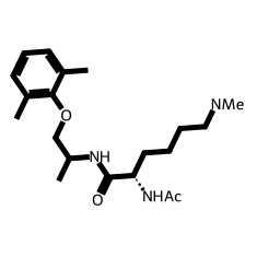 CNCCCC[C@H](NC(C)=O)C(=O)NC(C)COc1c(C)cccc1C